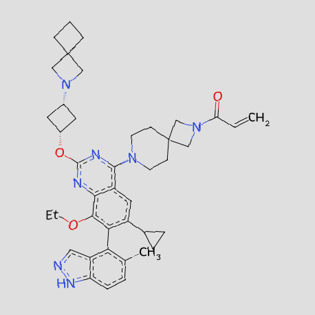 C=CC(=O)N1CC2(CCN(c3nc(O[C@H]4C[C@@H](N5CC6(CCC6)C5)C4)nc4c(OCC)c(-c5c(C)ccc6[nH]ncc56)c(C5CC5)cc34)CC2)C1